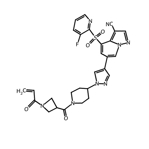 C=CC(=O)N1CC(C(=O)N2CCC(n3cc(-c4cc(S(=O)(=O)c5ncccc5F)c5c(C#N)cnn5c4)cn3)CC2)C1